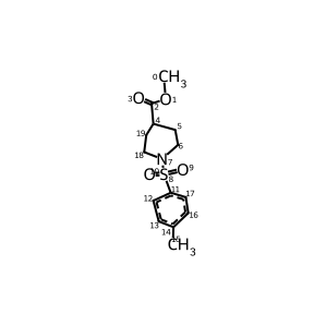 COC(=O)C1CCN(S(=O)(=O)c2ccc(C)cc2)CC1